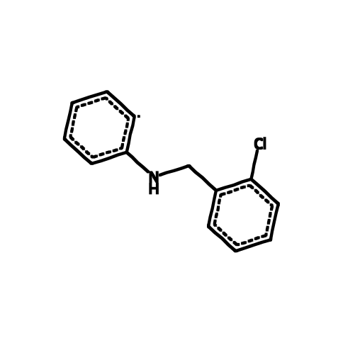 Clc1ccccc1CNc1[c]cccc1